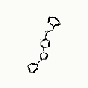 C1=CN(c2ccc(OCc3ccccc3)nc2)CN1c1ccccc1